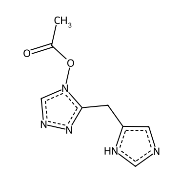 CC(=O)On1cnnc1Cc1cnc[nH]1